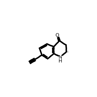 C#Cc1ccc2c(c1)N[C]CC2=O